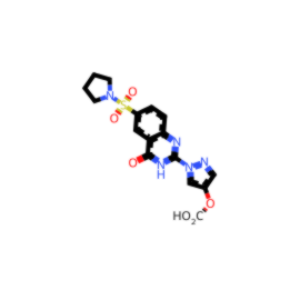 O=C(O)Oc1cnn(-c2nc3ccc(S(=O)(=O)N4CCCC4)cc3c(=O)[nH]2)c1